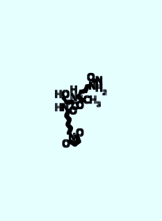 CC(=O)[C@H](CCCNC(N)=O)NC(=O)[C@H](CO)NC(=O)CCCCCN1C(=O)C=CC1=O